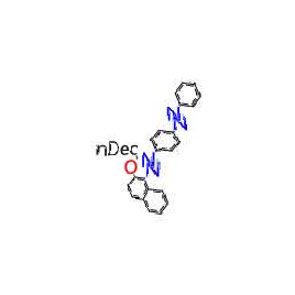 CCCCCCCCCCCOc1ccc2ccccc2c1/N=N/c1ccc(/N=N/c2ccccc2)cc1